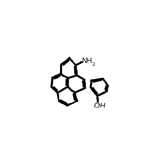 Nc1ccc2ccc3cccc4ccc1c2c34.Oc1ccccc1